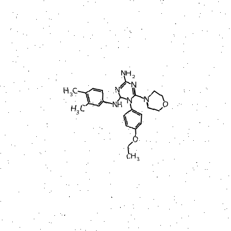 CCOc1ccc(N2C(N3CCOCC3)=NC(N)=NC2Nc2ccc(C)c(C)c2)cc1